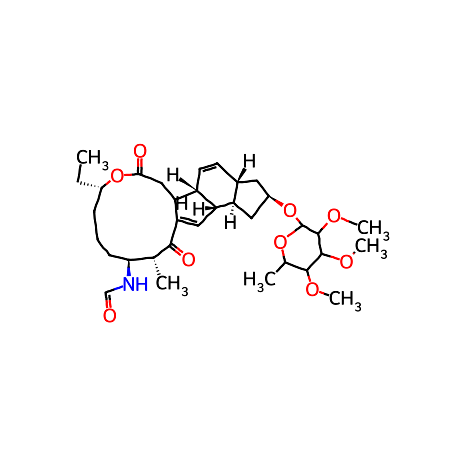 CC[C@H]1CCC[C@H](NC=O)[C@@H](C)C(=O)C2=C[C@@H]3[C@@H](C=C[C@@H]4C[C@@H](OC5OC(C)C(OC)C(OC)C5OC)C[C@@H]34)[C@@H]2CC(=O)O1